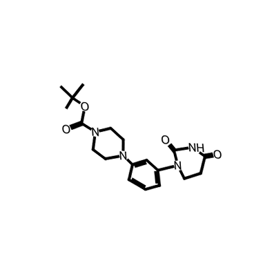 CC(C)(C)OC(=O)N1CCN(c2cccc(N3CCC(=O)NC3=O)c2)CC1